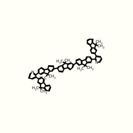 CC1(C)c2cc(-c3ccc4c(c3)C(C)(C)c3cc(-c5ncccc5-c5ccc6c(c5)C(C)(C)c5ccccc5-6)ccc3-4)ccc2-c2ccc(-c3ccc4c(c3)C(C)(C)c3cc(-c5ncccc5-c5ccc6c(c5)C(C)(C)c5ccccc5-6)ccc3-4)cc21